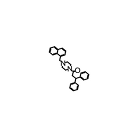 O=C(CC(c1ccccc1)c1ccccc1)N1CCN(Cc2cccc3ccccc23)CC1